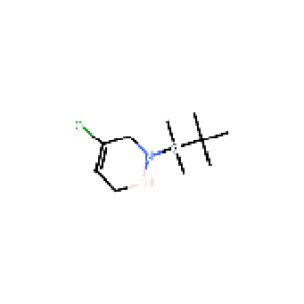 CC(C)(C)[Si](C)(C)N1BCC=C(Cl)C1